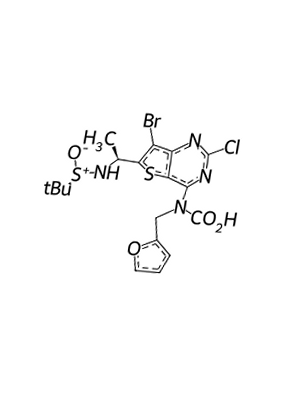 C[C@H](N[S@+]([O-])C(C)(C)C)c1sc2c(N(Cc3ccco3)C(=O)O)nc(Cl)nc2c1Br